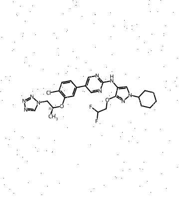 C[C@@H](Cn1cnnn1)Oc1cc(-c2cnc(Nc3cn(C4CCCCC4)nc3OCC(F)F)nc2)ccc1Cl